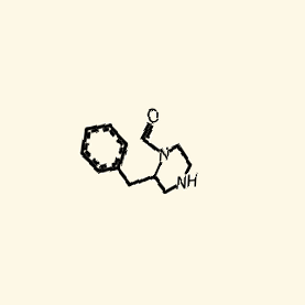 O=CN1CCNCC1Cc1ccccc1